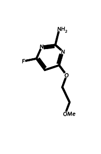 COCCOc1cc(F)nc(N)n1